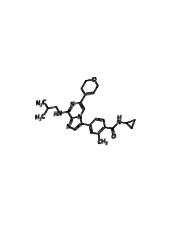 Cc1cc(-c2cnc3c(NCC(C)C)nc(C4=CCOCC4)cn23)ccc1C(=O)NC1CC1